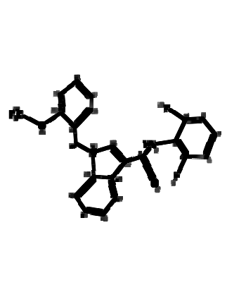 O=C(Nc1c(F)cccc1F)c1cn(Cc2ccccc2OC(F)(F)F)c2ccccc12